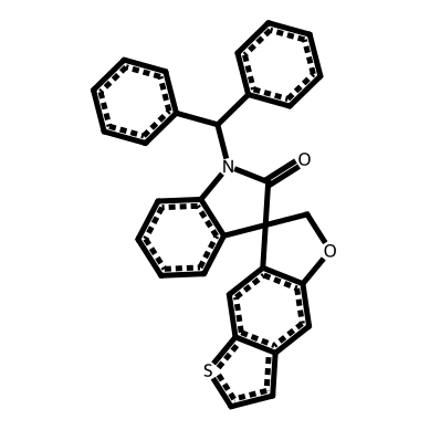 O=C1N(C(c2ccccc2)c2ccccc2)c2ccccc2C12COc1cc3ccsc3cc12